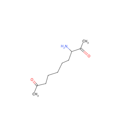 CC(=O)CCCCCC(N)C(C)=O